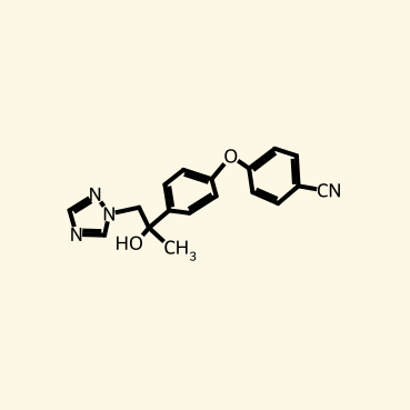 CC(O)(Cn1cncn1)c1ccc(Oc2ccc(C#N)cc2)cc1